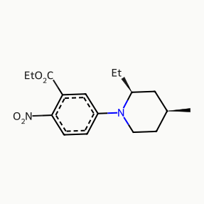 CCOC(=O)c1cc(N2CC[C@H](C)C[C@@H]2CC)ccc1[N+](=O)[O-]